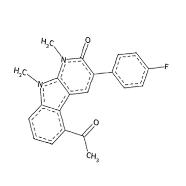 CC(=O)c1cccc2c1c1cc(-c3ccc(F)cc3)c(=O)n(C)c1n2C